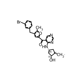 [CH2][C@@H]1C[C@@H](Nc2ncncc2C(=O)c2cc(Cc3cccc(Br)c3)c(C)o2)C[C@@H]1O